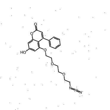 [N-]=[N+]=NCCOCCOCCOc1cc(O)cc2oc(=O)cc(-c3ccccc3)c12